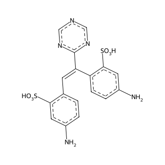 Nc1ccc(C=C(c2ncncn2)c2ccc(N)cc2S(=O)(=O)O)c(S(=O)(=O)O)c1